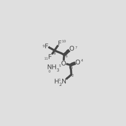 N.NCC(=O)OC(=O)C(F)(F)F